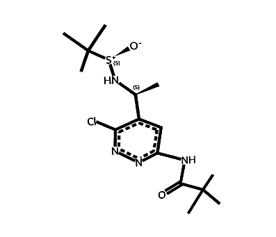 C[C@H](N[S@+]([O-])C(C)(C)C)c1cc(NC(=O)C(C)(C)C)nnc1Cl